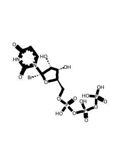 O=c1ccn([C@]2(Br)O[C@H](COP(=O)(O)OP(=O)(O)OP(=O)(O)O)[C@@H](O)[C@H]2O)c(=O)[nH]1